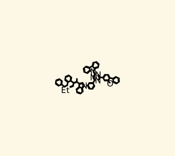 C=C/C(=C(/C)c1cn(-c2cccc(-c3nc(-c4ccc5c(c4)oc4ccccc45)nc(-n4c5ccccc5c5ccccc54)n3)c2)c2ccccc12)c1ccccc1CC(CC)c1ccccc1